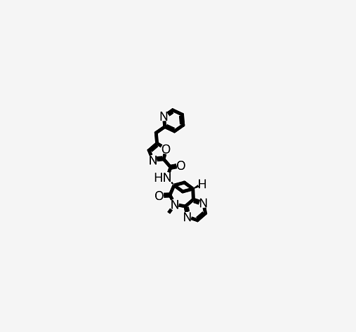 CN1c2nccnc2[C@H]2C[C@@](NC(=O)c3ncc(Cc4ccccn4)o3)(C2)C1=O